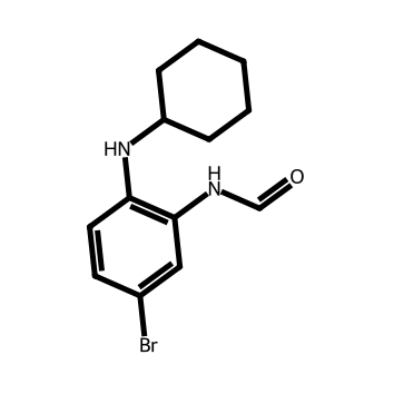 O=CNc1cc(Br)ccc1NC1CCCCC1